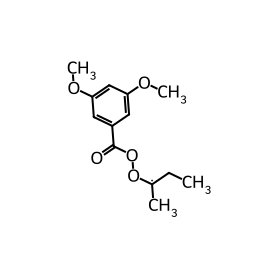 CC[C](C)OOC(=O)c1cc(OC)cc(OC)c1